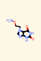 NOCCn1cnc2[nH]c(=O)[nH]c(=O)c21